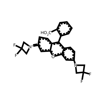 O=C(O)c1ccccc1-c1c2ccc(=[N+]3CC(F)(F)C3)cc-2oc2cc(N3CC(F)(F)C3)ccc12